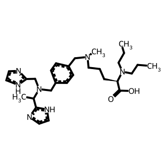 CCCN(CCC)[C@H](CCCN(C)Cc1ccc(CN(Cc2ncc[nH]2)C(C)c2ncc[nH]2)cc1)C(=O)O